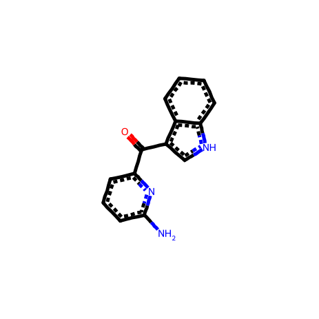 Nc1cccc(C(=O)c2c[nH]c3ccccc23)n1